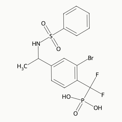 CC(NS(=O)(=O)c1ccccc1)c1ccc(C(F)(F)P(=O)(O)O)c(Br)c1